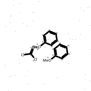 C=C(Cl)Cl.COc1ccccc1.COc1ccccc1